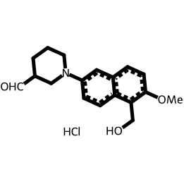 COc1ccc2cc(N3CCCC(C=O)C3)ccc2c1CO.Cl